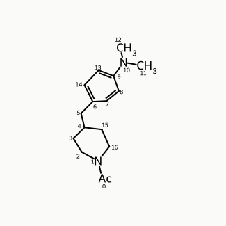 CC(=O)N1CCC(Cc2ccc(N(C)C)cc2)CC1